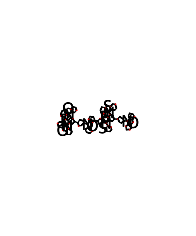 c1ccc2c(c1)Oc1ccccc1N2c1ccc(-c2cc3c4c(c2)N2c5ccccc5Sc5cc(-c6cccc7c6Oc6ccccc6N7c6ccc(-c7cc8c9c(c7)N7c%10ccccc%10Oc%10cccc(c%107)B9c7cccc9c7N8c7ccccc7O9)cc6)cc(c52)B4c2cccc4c2N3c2ccccc2S4)cc1